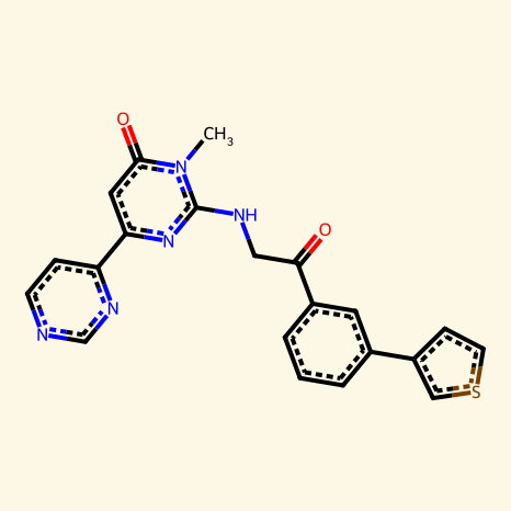 Cn1c(NCC(=O)c2cccc(-c3ccsc3)c2)nc(-c2ccncn2)cc1=O